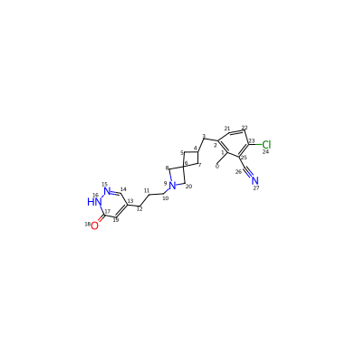 Cc1c(CC2CC3(C2)CN(CCCc2cn[nH]c(=O)c2)C3)ccc(Cl)c1C#N